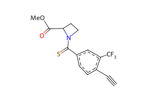 C#Cc1ccc(C(=S)N2CCC2C(=O)OC)cc1C(F)(F)F